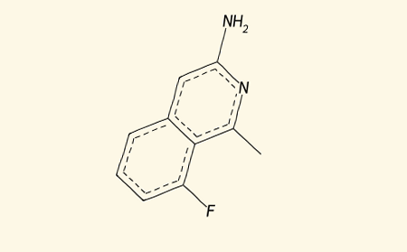 Cc1nc(N)cc2cccc(F)c12